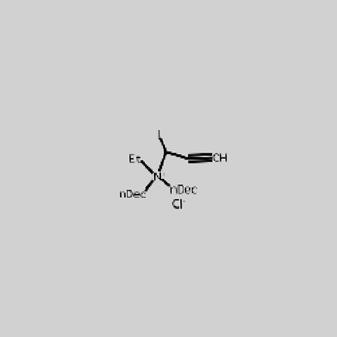 C#CC(I)[N+](CC)(CCCCCCCCCC)CCCCCCCCCC.[Cl-]